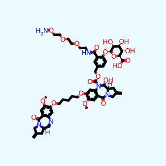 C=C1C[C@H]2C=Nc3cc(OCCCCCOc4cc5c(cc4OC)C(=O)N4CC(=C)C[C@H]4C(O)N5C(=O)OCc4ccc(O[C@@H]5O[C@H](C(=O)O)[C@@H](O)[C@H](O)[C@H]5O)c(C(=O)NCCOCCOCCON)c4)c(OC)cc3C(=O)N2C1